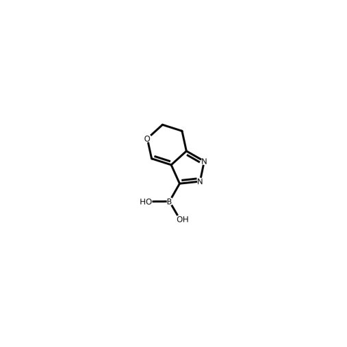 OB(O)C1=NN=C2CCOC=C21